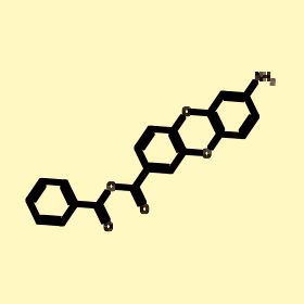 Nc1ccc2c(c1)Oc1ccc(C(=O)OC(=O)c3ccccc3)cc1O2